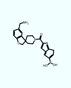 NCc1ccc2c(c1)C1(CCN(C(=O)C3=CC4=CC(B(O)O)=CCC4=N3)CC1)CO2